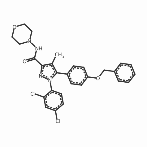 Cc1c(C(=O)NN2CCOCC2)nn(-c2ccc(Cl)cc2Cl)c1-c1ccc(OCc2ccccc2)cc1